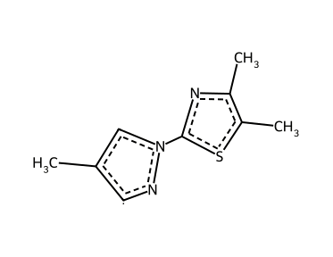 Cc1[c]nn(-c2nc(C)c(C)s2)c1